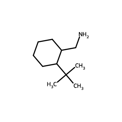 CC(C)(C)C1CCCCC1CN